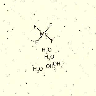 O.O.O.O.O.[F][Mo]([F])([F])[F]